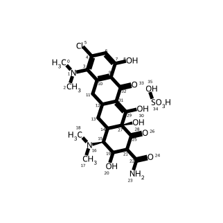 CN(C)c1c(Cl)cc(O)c2c1CC1CC3[C@H](N(C)C)C(O)C(C(N)=O)C(=O)[C@@]3(O)C(O)=C1C2=O.O=S(=O)(O)O